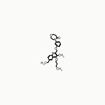 CCCCOc1c(C)c(COc2cccc(N3CCOCCC3=O)c2)nc2ccc(CC)cc12